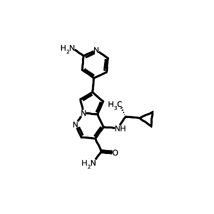 C[C@@H](Nc1c(C(N)=O)cnn2cc(-c3ccnc(N)c3)cc12)C1CC1